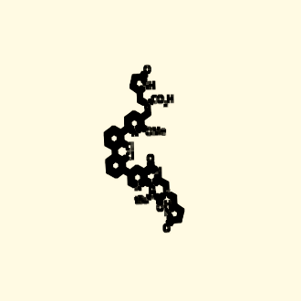 COc1nc(-c2cccc(-c3cccc(-c4cnc5[nH]c(CN(CC6CCC(=O)N6)C(=O)OC(C)(C)C)nc(=O)c5c4)c3Cl)c2Cl)ccc1CN(CC1CCC(=O)N1)C(=O)O